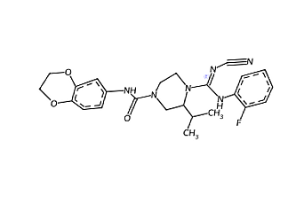 CC(C)C1CN(C(=O)Nc2ccc3c(c2)OCCO3)CCN1/C(=N/C#N)Nc1ccccc1F